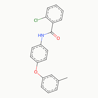 Cc1cccc(Oc2ccc(NC(=O)c3ccccc3Cl)cc2)c1